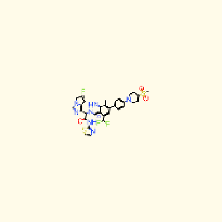 CC1=C(c2ccc(N3CCC(S(C)(=O)=O)CC3)cc2)C=C(C(F)F)/C(=C/NC(C(=O)Nc2nccs2)c2ncn3c2C[C@@H](F)C3)C1=N